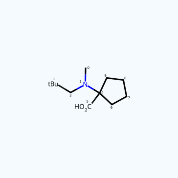 CN(CC(C)(C)C)C1(C(=O)O)CCCC1